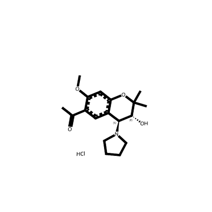 COc1cc2c(cc1C(C)=O)[C@H](N1CCCC1)[C@@H](O)C(C)(C)O2.Cl